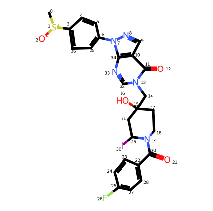 C[S+]([O-])c1ccc(-n2ncc3c(=O)n(CC4(O)CCN(C(=O)c5ccc(F)cc5)C(I)C4)cnc32)cc1